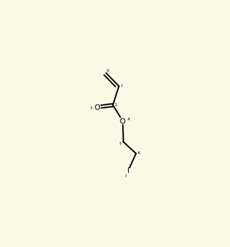 C=CC(=O)OCCI